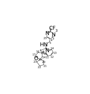 FC(F)(F)c1ncc(CNCC[C@@]2(c3ccccn3)CCOC3(CCCC3)C2)cn1